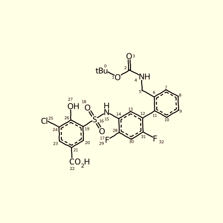 CC(C)(C)OC(=O)NCc1ccccc1-c1cc(NS(=O)(=O)c2cc(C(=O)O)cc(Cl)c2O)c(F)cc1F